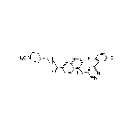 CN1CCC(CCNC(=O)c2ccc3c(Nc4cnnc(-c5cc(Cl)ccc5F)c4)ccnc3c2)CC1